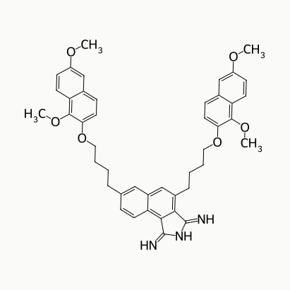 COc1ccc2c(OC)c(OCCCCc3ccc4c5c(c(CCCCOc6ccc7cc(OC)ccc7c6OC)cc4c3)C(=N)NC5=N)ccc2c1